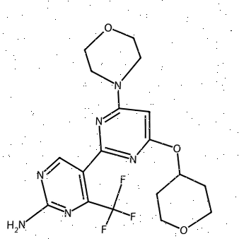 Nc1ncc(-c2nc(OC3CCOCC3)cc(N3CCOCC3)n2)c(C(F)(F)F)n1